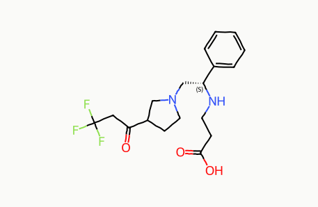 O=C(O)CCN[C@H](CN1CCC(C(=O)CC(F)(F)F)C1)c1ccccc1